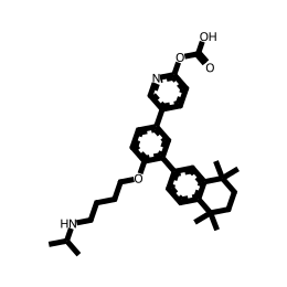 CC(C)NCCCCOc1ccc(-c2ccc(OC(=O)O)nc2)cc1-c1ccc2c(c1)C(C)(C)CCC2(C)C